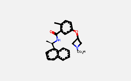 Cc1ccc(OC2CN(C(=O)O)C2)cc1C(=O)N[C@H](C)c1cccc2ccccc12